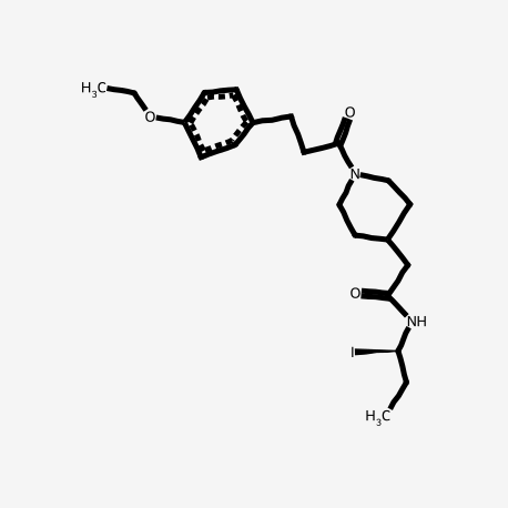 CCOc1ccc(CCC(=O)N2CCC(CC(=O)N[C@H](I)CC)CC2)cc1